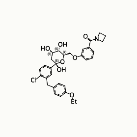 CCOc1ccc(Cc2cc([C@]3(O)C[C@@H](O)[C@H](O)[C@@H](COc4cccc(C(=O)N5CCC5)c4)O3)ccc2Cl)cc1